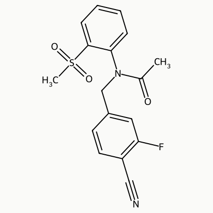 CC(=O)N(Cc1ccc(C#N)c(F)c1)c1ccccc1S(C)(=O)=O